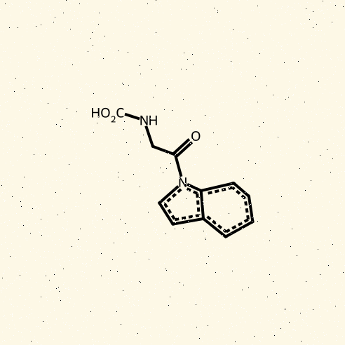 O=C(O)NCC(=O)n1ccc2ccccc21